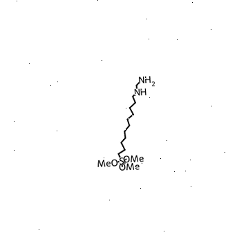 CO[Si](CCCCCCCCCCCNCN)(OC)OC